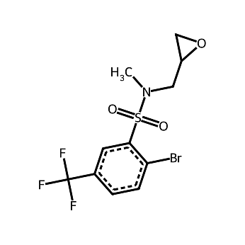 CN(CC1CO1)S(=O)(=O)c1cc(C(F)(F)F)ccc1Br